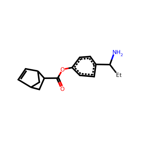 CCC(N)c1ccc(OC(=O)C2CC3C=CC2C3)cc1